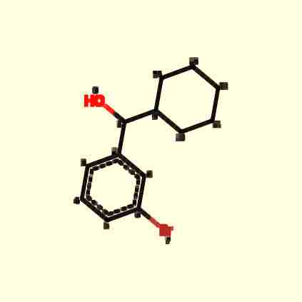 OC(c1cccc(Br)c1)C1CCCCC1